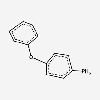 Pc1ccc(Oc2ccccc2)cc1